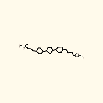 CCCCCC1C=CC(C2CCC(C3CCC(CCCC)CC3)CC2)CC1